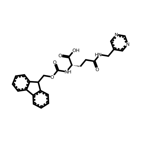 O=C(CC[C@H](NC(=O)OCC1c2ccccc2-c2ccccc21)C(=O)O)NCc1cncnc1